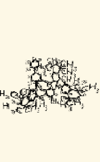 Cc1cc2c(cc1N1c3cc4c(cc3B3c5cc(-c6ccccc6)ccc5N(c5cc6c(cc5C)C(C)(C)CC6(C)C)c5cc(C(C)(C)C)cc1c53)C(C)(C)CC4(C)C)C(C)(C)CCC2(C)C